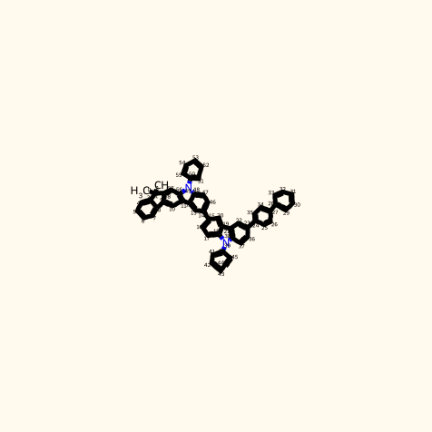 CC1(C)c2ccccc2-c2cc3c4cc(-c5ccc6c(c5)c5cc(-c7ccc(-c8ccccc8)cc7)ccc5n6-c5ccccc5)ccc4n(-c4ccccc4)c3cc21